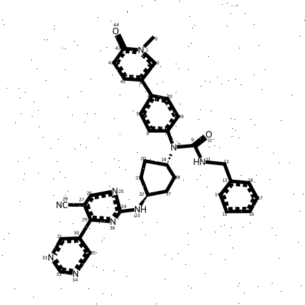 Cn1cc(-c2ccc(N(C(=O)NCc3ccccc3)[C@H]3CC[C@H](Nc4ncc(C#N)c(-c5cncnc5)n4)CC3)cc2)ccc1=O